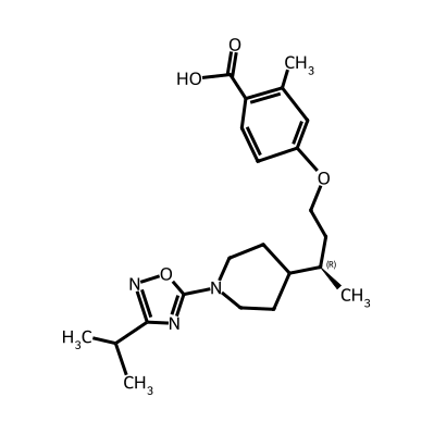 Cc1cc(OCC[C@@H](C)C2CCN(c3nc(C(C)C)no3)CC2)ccc1C(=O)O